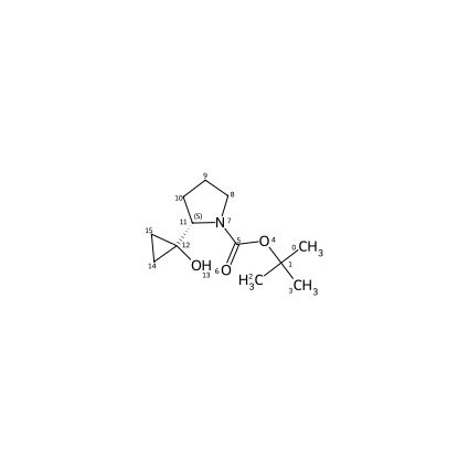 CC(C)(C)OC(=O)N1CCC[C@H]1C1(O)CC1